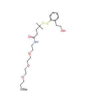 COCCOCCOCCOCCNC(=O)CCC(C)(C)SSc1ccccc1CCO